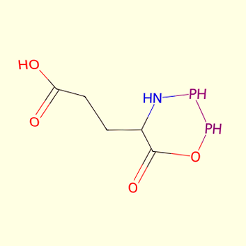 O=C(O)CCC1NPPOC1=O